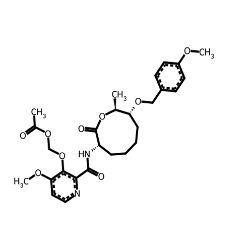 COc1ccc(CO[C@@H]2CCCC[C@H](NC(=O)c3nccc(OC)c3OCOC(C)=O)C(=O)O[C@H]2C)cc1